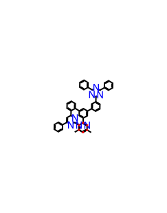 Cc1cc(C)nc(-c2cc(-c3cccc(-c4nc(-c5ccccc5)nc(-c5ccccc5)n4)c3)cc(-c3ccccc3-c3cc(-c4ccccc4)nc(-c4ccccc4)n3)c2)n1